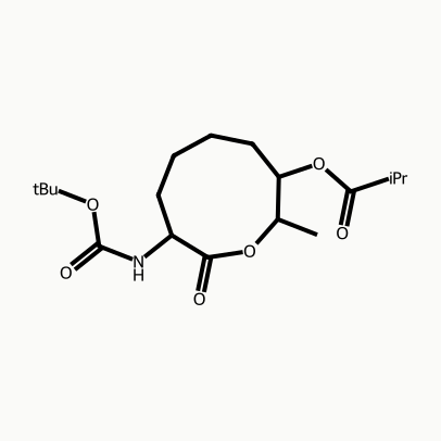 CC(C)C(=O)OC1CCCCC(NC(=O)OC(C)(C)C)C(=O)OC1C